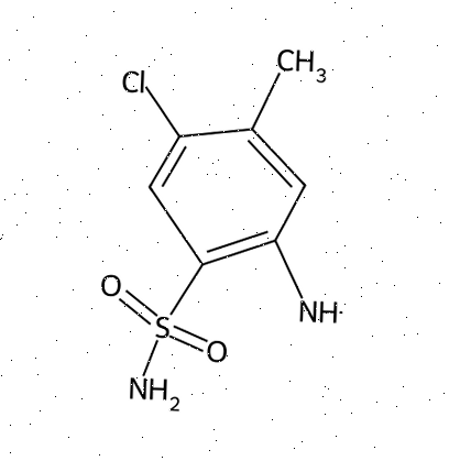 Cc1cc([NH])c(S(N)(=O)=O)cc1Cl